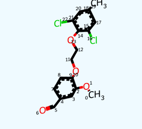 COc1cc(C=O)ccc1OCCOc1c(Cl)cc(C)cc1Cl